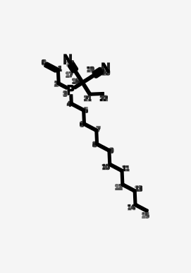 C=CCP(CCCCCCCCCCCC)C(C#N)(C#N)CC